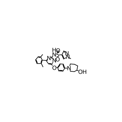 Cc1cccc(C)c1-c1cc(Oc2ccc(N3CCCC(O)CC3)cc2)nc(NS(=O)(=O)c2cnn(C)c2)n1